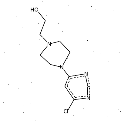 OCCN1CCN(c2cc(Cl)ncn2)CC1